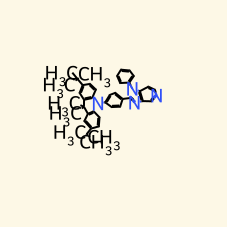 CC(C)(C)c1ccc2c(c1)C(C)(C)c1cc(C(C)(C)C)ccc1N2c1ccc(-c2nc3cnccc3n2-c2ccccc2)cc1